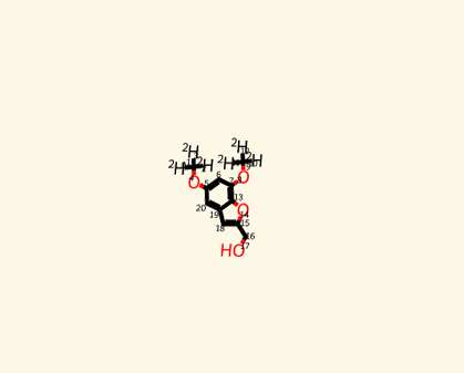 [2H]C([2H])([2H])Oc1cc(OC([2H])([2H])[2H])c2oc(CO)cc2c1